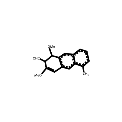 COC1=Cc2cc3c(C)cccc3cc2C(OC)C1C=O